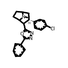 CN1C2CCC1C(c1nnc(-c3ccccc3)o1)[C@@H](c1ccc(Cl)cc1)C2